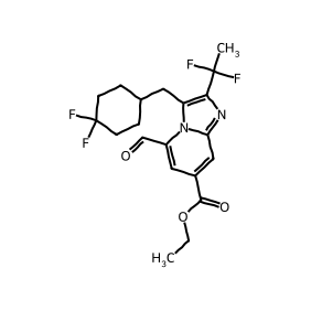 CCOC(=O)c1cc(C=O)n2c(CC3CCC(F)(F)CC3)c(C(C)(F)F)nc2c1